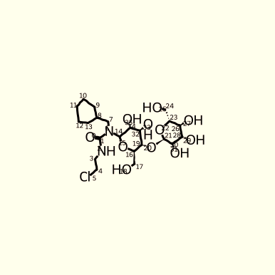 O=C(NCCCl)N(CC1CCCCC1)C1O[C@H](CO)[C@@H](O[C@H]2O[C@H](CO)[C@@H](O)[C@H](O)[C@H]2O)[C@H](O)[C@H]1O